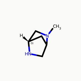 CN1C[C@@H]2CC1CN2